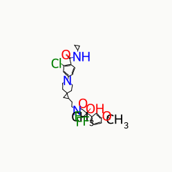 COc1cccc(C(O)(C(=O)N(C)CCC2CC23CCN(c2ccc(C(=O)NC4CC4)c(Cl)c2)CC3)C(F)(F)F)c1